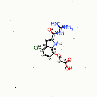 Cn1c(C(=O)NC(=N)N)cc2c(Cl)ccc(OCC(=O)O)c21